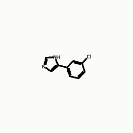 Clc1cccc(-c2cnc[nH]2)c1